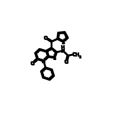 CC(=O)Nc1sc2c(ccc(=O)n2-c2ccccc2)c1C(=O)c1cccs1